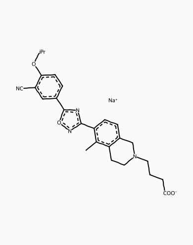 Cc1c(-c2noc(-c3ccc(OC(C)C)c(C#N)c3)n2)ccc2c1CCN(CCCC(=O)[O-])C2.[Na+]